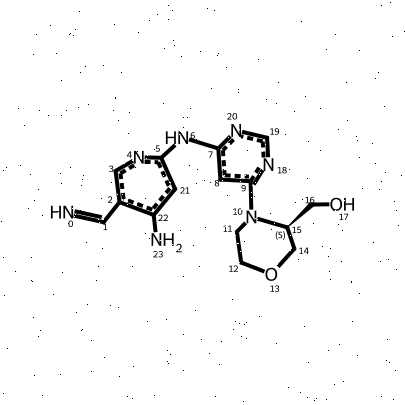 N=Cc1cnc(Nc2cc(N3CCOC[C@@H]3CO)ncn2)cc1N